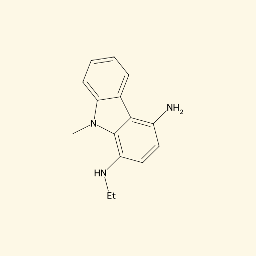 CCNc1ccc(N)c2c3ccccc3n(C)c12